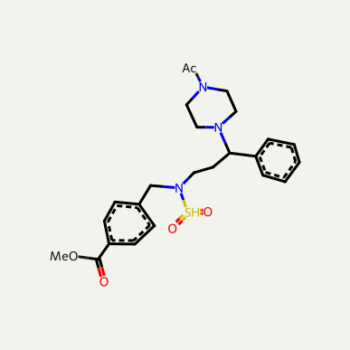 COC(=O)c1ccc(CN(CCC(c2ccccc2)N2CCN(C(C)=O)CC2)[SH](=O)=O)cc1